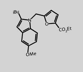 CCOC(=O)c1ccc(Cn2c(C(C)CC)cc3cc(OC)ccc32)o1